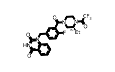 CC[C@H]1CN(C(=O)c2cc(Cn3c(=O)[nH]c(=O)c4ccccc43)ccc2F)CCN1C(=O)C(F)(F)F